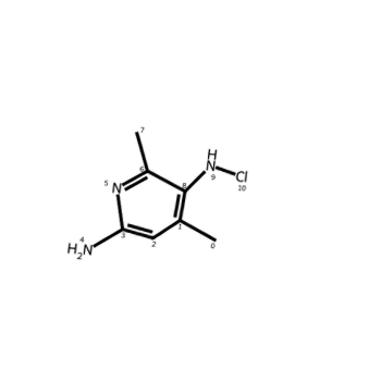 Cc1cc(N)nc(C)c1NCl